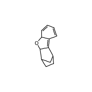 C1=CC2=C3C4CCC(C4)C3OC2C=C1